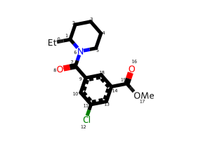 CCC1CCCCN1C(=O)c1cc(Cl)cc(C(=O)OC)c1